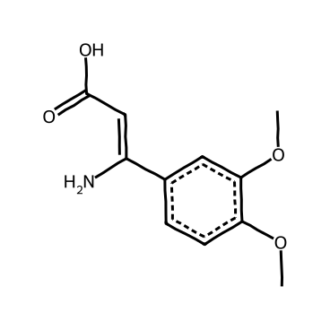 COc1ccc(C(N)=CC(=O)O)cc1OC